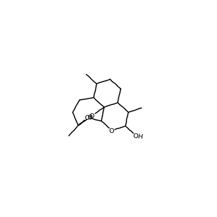 CC1CCC2C(C)C(O)OC3OC4(C)CCC1C32OO4